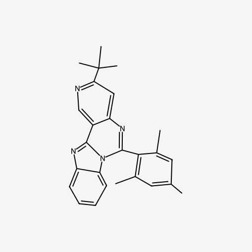 Cc1cc(C)c(-c2nc3cc(C(C)(C)C)ncc3c3nc4ccccc4n23)c(C)c1